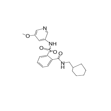 COc1cncc(NS(=O)(=O)c2ccccc2C(=O)NCC2CCCCC2)c1